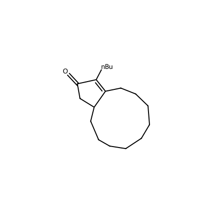 CCCCC1=C2CCCCCCCCCC2CC1=O